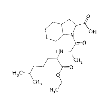 CCOC(=O)C(CCCC(C)C)N[C@@H](C)C(=O)N1C(C(=O)O)CC2CCCCC21